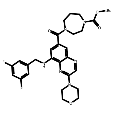 CC(C)(C)OC(=O)N1CCCN(C(=O)c2cc(NCc3cc(F)cc(F)c3)c3nc(N4CCOCC4)cnc3c2)CC1